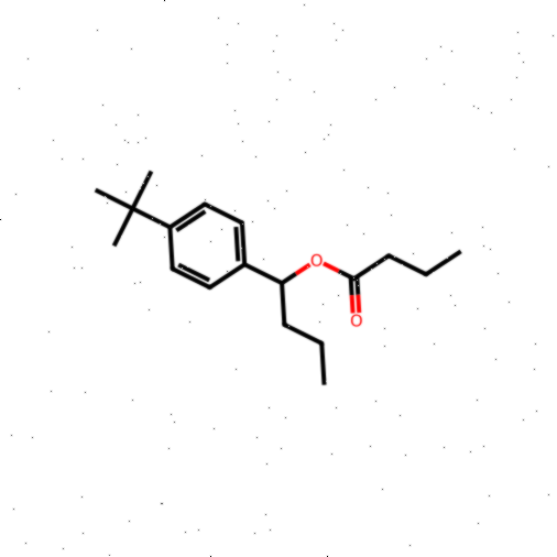 CCCC(=O)OC(CCC)c1ccc(C(C)(C)C)cc1